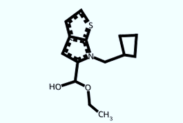 CCOC(O)c1cc2ccsc2n1CC1CCC1